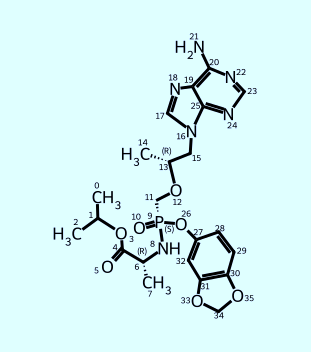 CC(C)OC(=O)[C@@H](C)N[P@](=O)(CO[C@H](C)Cn1cnc2c(N)ncnc21)Oc1ccc2c(c1)OCO2